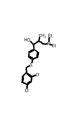 CCN(CC)CC(C)C(O)c1ccc(SCc2ccc(Cl)cc2Cl)cc1